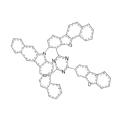 c1ccc2cc3c(cc2c1)c1ccccc1n3-c1ccc2c(oc3c4ccccc4ccc23)c1-c1nc(-c2ccc3c(c2)oc2ccccc23)nc(-c2cccc3ccccc23)n1